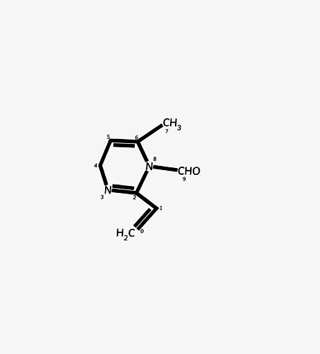 C=CC1=NCC=C(C)N1C=O